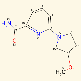 COC1CCN(c2cc[c]c(C(N)=O)n2)C1